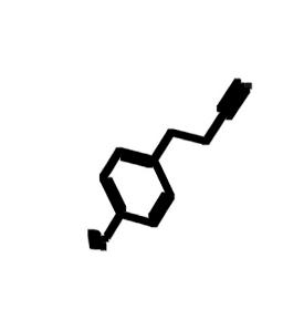 [C]#CCCc1ccc(Br)cc1